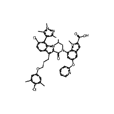 Cc1cc(OCCCc2c3n(c4c(-c5c(C)nn(C)c5C)c(Cl)ccc24)C(C)CN(c2cc(Oc4ccccn4)cc4cc(C(=O)O)n(C)c24)C3=O)cc(C)c1Cl